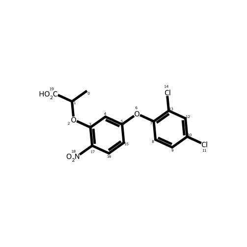 CC(Oc1cc(Oc2ccc(Cl)cc2Cl)ccc1[N+](=O)[O-])C(=O)O